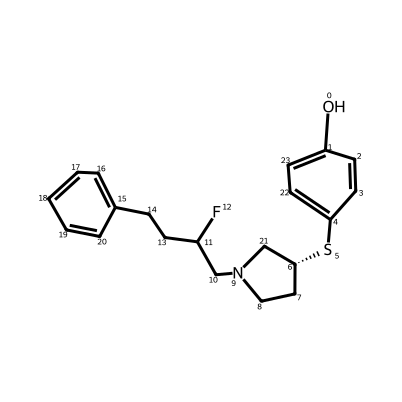 Oc1ccc(S[C@@H]2CCN(CC(F)CCc3ccccc3)C2)cc1